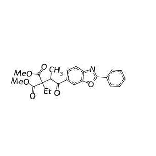 CCC(C(=O)OC)(C(=O)OC)C(C)C(=O)c1ccc2nc(-c3ccccc3)oc2c1